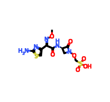 CON=C(C(=O)N[C@H]1CN(OCS(=O)(=O)O)C1=O)c1csc(N)n1